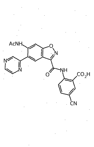 CC(=O)Nc1cc2onc(C(=O)Nc3ccc(C#N)cc3C(=O)O)c2cc1-c1cnccn1